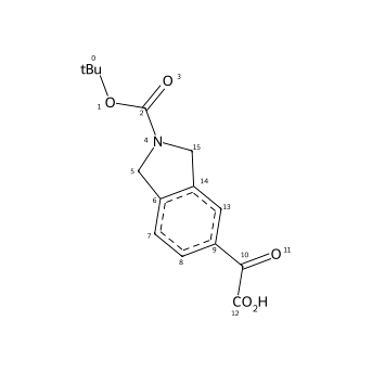 CC(C)(C)OC(=O)N1Cc2ccc(C(=O)C(=O)O)cc2C1